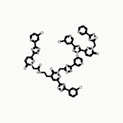 O=C(Cn1nc(-c2nc(-c3cc(Cl)ccn3)ns2)ccc1=O)NCCc1cc(-c2nc(-c3cccc(Cl)c3)ns2)nn(Cc2nc(-c3cncc([SH]4N=C(c5cncc(Cl)c5)N=C4c4ccc(=O)n(Cc5nc(-c6cccnc6)no5)n4)c3)no2)c1=O